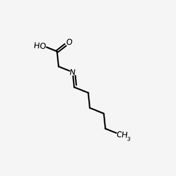 CCCCCC=NCC(=O)O